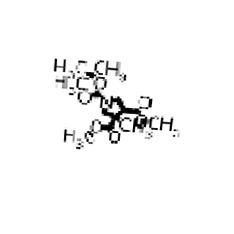 COC(=O)C1CN(C(=O)OC(C)(C)C)CC1(C)C(=O)OC